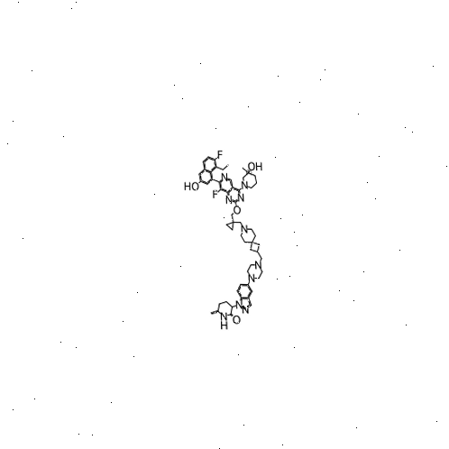 C=C1CCC(n2ncc3cc(N4CCN(CC5CC6(CCN(CC7(COc8nc(N9CCC[C@@](C)(O)C9)c9cnc(-c%10cc(O)cc%11ccc(F)c(CC)c%10%11)c(F)c9n8)CC7)CC6)C5)CC4)ccc32)C(=O)N1